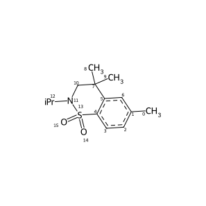 Cc1ccc2c(c1)C(C)(C)CN(C(C)C)S2(=O)=O